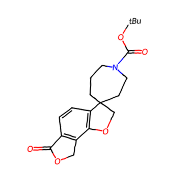 CC(C)(C)OC(=O)N1CCCC2(CC1)COc1c2ccc2c1COC2=O